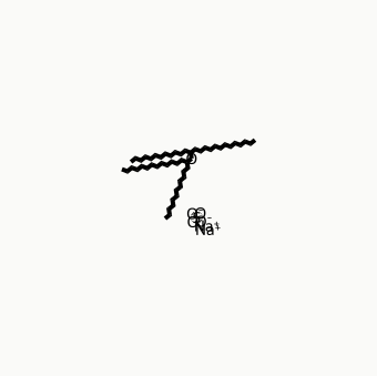 CCCCCCCCCCCCCC(CCCCCCCCCCCC)OC(CCCCCCCCCCCC)CCCCCCCCCCCCC.O=S(=O)([O-])[O-].[Na+].[Na+]